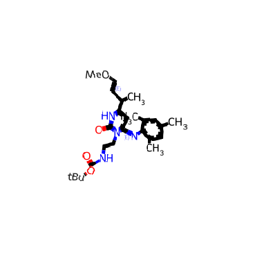 CO/C=C/C(C)c1c/c(=N\c2c(C)cc(C)cc2C)n(CCNC(=O)OC(C)(C)C)c(=O)[nH]1